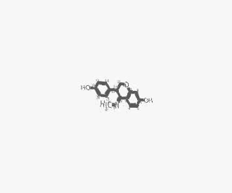 C/N=C1/c2ccc(O)cc2OCC1c1ccc(O)cc1